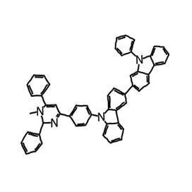 CN1C(c2ccccc2)=CC(c2ccc(-n3c4ccccc4c4cc(-c5ccc6c7ccccc7n(-c7ccccc7)c6c5)ccc43)cc2)=NC1c1ccccc1